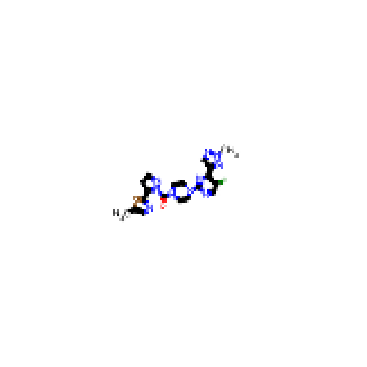 Cc1cnc(C2CC=NN2C(=O)N2CCN(c3ncc(F)c(-c4cnn(C)n4)n3)CC2)s1